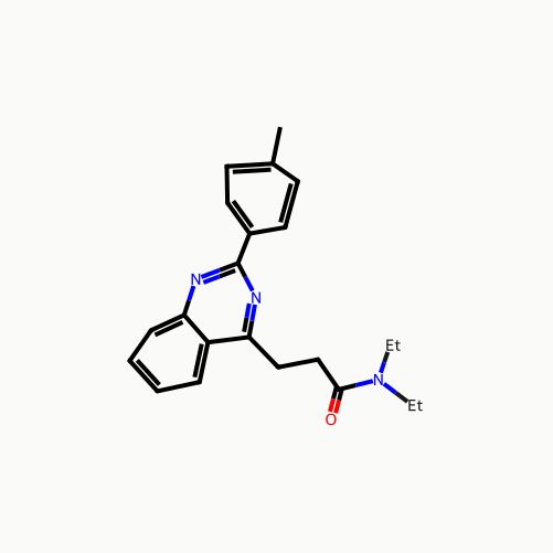 CCN(CC)C(=O)CCc1nc(-c2ccc(C)cc2)nc2ccccc12